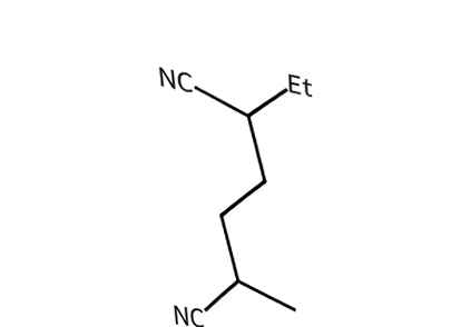 CCC(C#N)CCC(C)C#N